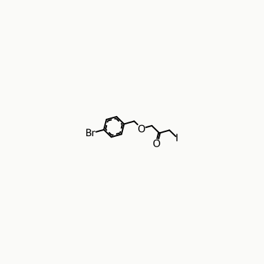 O=C(CI)COCc1ccc(Br)cc1